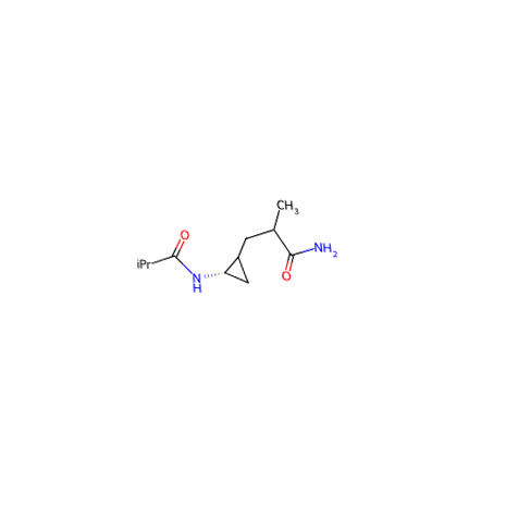 CC(C)C(=O)N[C@H]1CC1CC(C)C(N)=O